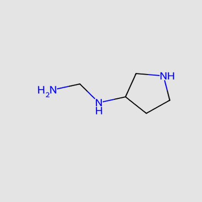 NCNC1CCNC1